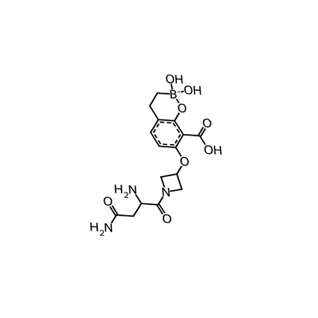 NC(=O)CC(N)C(=O)N1CC(Oc2ccc3c(c2C(=O)O)O[B-](O)(O)CC3)C1